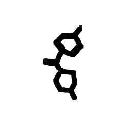 CC1CCN(C(=O)c2ccc(I)cc2)CC1